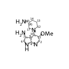 COc1cnc2[nH]cc(N)c2c1N1CCC[C@@H](N)C1